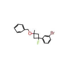 CC1(OCc2ccccc2)CC(F)(c2cccc(Br)c2)C1